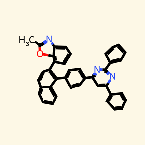 Cc1nc2cccc(-c3ccc4ccccc4c3-c3ccc(-c4cc(-c5ccccc5)nc(-c5ccccc5)n4)cc3)c2o1